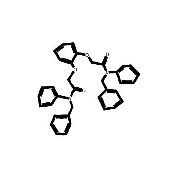 O=C(COc1ccccc1OCC(=O)N(Cc1ccccc1)c1ccccc1)N(Cc1ccccc1)c1ccccc1